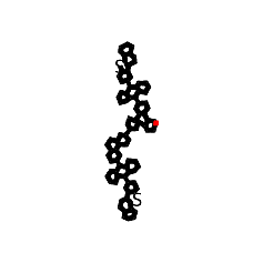 c1ccc2c(c1)ccc1c3cc(-c4c5ccccc5c(-c5ccc6ccc7cc(-c8ccc9c(c8)c8ccccc8c8ccc(-c%10c%11ccccc%11c(-c%11ccc%12sc%13c%14ccccc%14ccc%13c%12c%11)c%11ccccc%10%11)cc89)ccc7c6c5)c5ccccc45)ccc3sc21